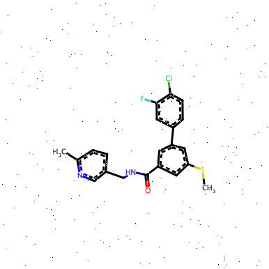 CSc1cc(C(=O)NCc2ccc(C)nc2)cc(-c2ccc(Cl)c(F)c2)c1